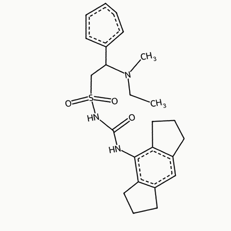 CCN(C)C(CS(=O)(=O)NC(=O)Nc1c2c(cc3c1CCC3)CCC2)c1ccccc1